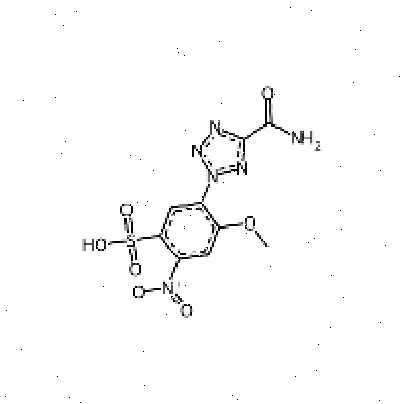 COc1cc([N+](=O)[O-])c(S(=O)(=O)O)cc1-n1nnc(C(N)=O)n1